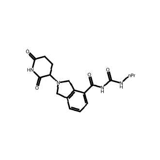 CCCNC(=O)NC(=O)c1cccc2c1CN(C1CCC(=O)NC1=O)C2